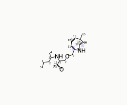 CCCC(C)NC(COC/C1=C/C=C\C(C)/C=C/N1)C(C)=O